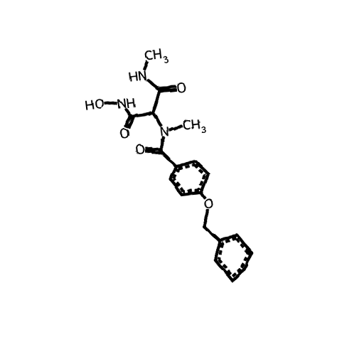 CNC(=O)C(C(=O)NO)N(C)C(=O)c1ccc(OCc2ccccc2)cc1